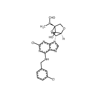 CN(C=O)[C@]12CO[C@@H]([C@H](n3cnc4c(NCc5cccc(Cl)c5)nc(Cl)nc43)O1)[C@@H]2O